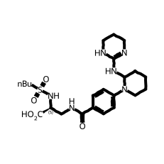 CCCCS(=O)(=O)N[C@@H](CNC(=O)c1ccc(N2CCCCC2NC2=NCCCN2)cc1)C(=O)O